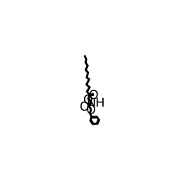 CCCCCCCCCCCC(=O)ONC(=O)OCc1ccccc1